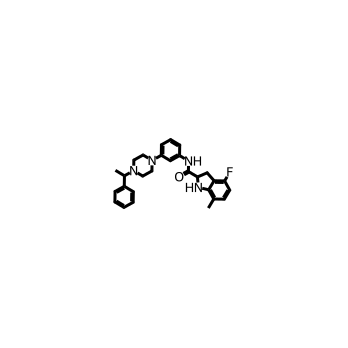 Cc1ccc(F)c2c1NC(C(=O)Nc1cccc(N3CCN(C(C)c4ccccc4)CC3)c1)C2